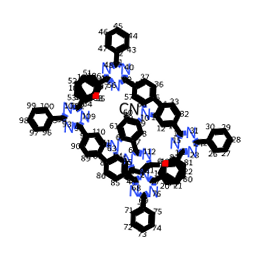 Cc1cc(C)nc(-c2cc(-n3c4cc(-c5nc(-c6ccccc6)nc(-c6ccccc6)n5)ccc4c4ccc(-c5nc(-c6ccccc6)nc(-c6ccccc6)n5)cc43)c(C#N)cc2-n2c3cc(-c4nc(-c5ccccc5)nc(-c5ccccc5)n4)ccc3c3ccc(-c4nc(-c5ccccc5)nc(-c5ccccc5)n4)cc32)n1